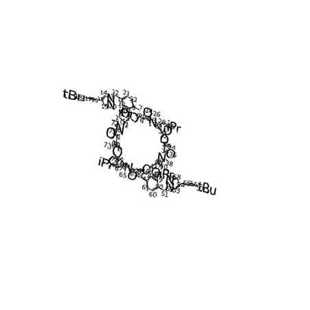 CC(C)C[C@H]1C(=O)O[C@H](Cc2ccc(Cn3cc(C#CC(C)(C)C)cn3)cc2)C(=O)N(C)[C@@H](CC(C)C)C(=O)O[C@H](C)C(=O)N(C)[C@@H](CC(C)C)C(=O)O[C@H](Cc2ccc(Cn3cc(C#CC(C)(C)C)cn3)cc2)C(=O)N(C)[C@@H](CC(C)C)C(=O)O[C@H](C)C(=O)N1C